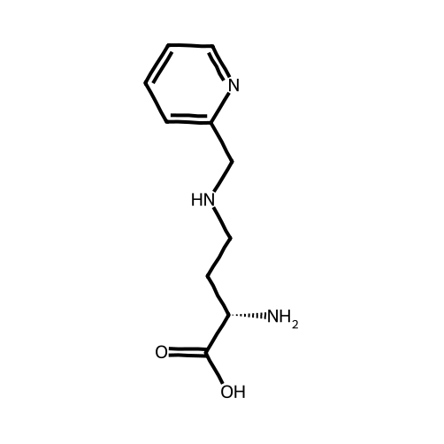 N[C@@H](CCNCc1ccccn1)C(=O)O